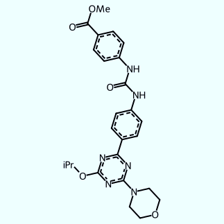 COC(=O)c1ccc(NC(=O)Nc2ccc(-c3nc(OC(C)C)nc(N4CCOCC4)n3)cc2)cc1